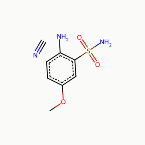 C#N.COc1ccc(N)c(S(N)(=O)=O)c1